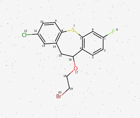 Fc1ccc2c(c1)Sc1ccc(Cl)cc1CC2OCCBr